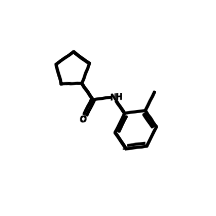 Cc1cc[c]cc1NC(=O)C1CCCC1